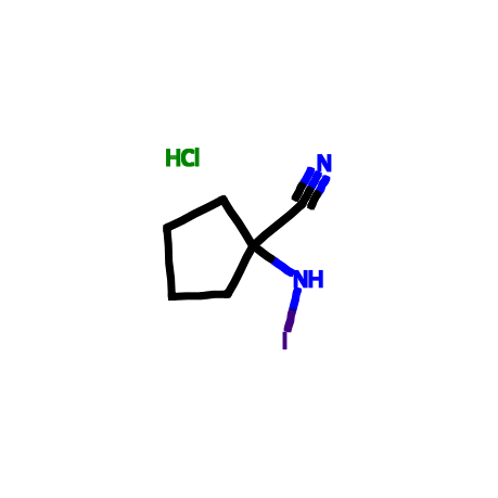 Cl.N#CC1(NI)CCCC1